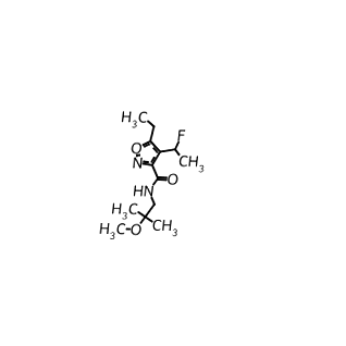 CCc1onc(C(=O)NCC(C)(C)OC)c1C(C)F